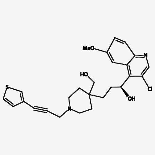 COc1ccc2ncc(Cl)c([C@@H](O)CCC3(CO)CCN(CC#Cc4ccsc4)CC3)c2c1